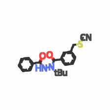 CC(C)(C)N(NC(=O)c1ccccc1)C(=O)c1cccc(CSC#N)c1